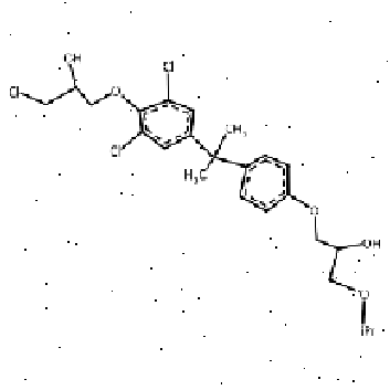 CC(C)OCC(O)COc1ccc(C(C)(C)c2cc(Cl)c(OCC(O)CCl)c(Cl)c2)cc1